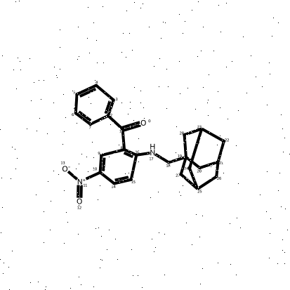 O=C(c1ccccc1)c1cc([N+](=O)[O-])ccc1NCC12CC3CC(CC(C3)C1)C2